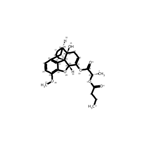 CCCC(=O)O[C@@H](C)C(=O)OC1=CC[C@@]2(O)[C@@H]3CCC[C@@]24c2c(ccc(OC)c2O[C@@H]14)C3